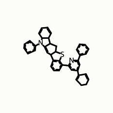 C1=CC2C3CC4Sc5c(-c6cc(C7=CCCC=C7)cc(-c7ccccc7)n6)cccc5C4C=C3N(c3ccccc3)C2C=C1